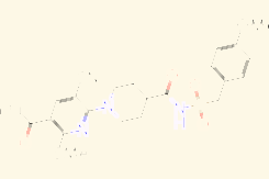 CCCCC(=O)c1cc(C#N)c(N2CCC(C(=O)NS(=O)(=O)Cc3ccc(OC)cc3)CC2)nc1SC